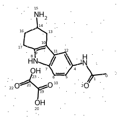 CC(=O)Nc1ccc2[nH]c3c(c2c1)CC(N)CC3.O=C(O)C(=O)O